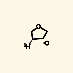 [2H][C@H]1CCOC1.[O]